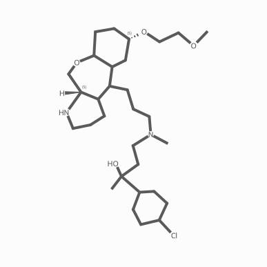 COCCO[C@H]1CCC2OC[C@H]3NCCCC3C(CCCN(C)CCC(C)(O)C3CCC(Cl)CC3)C2C1